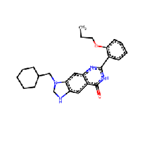 CCCOc1ccccc1-c1nc2cc3c(cc2c(=O)[nH]1)NCN3CC1CCCCC1